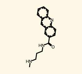 CNCCCNC(=O)c1ccc2nc3ccccc3cc2c1